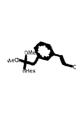 CCCCCCC(Cc1cccc(C=CC(=O)O)c1)(OC)OC